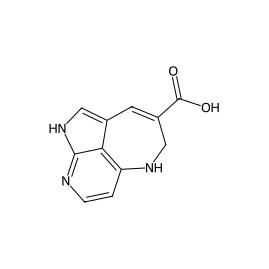 O=C(O)C1=Cc2c[nH]c3nccc(c23)NC1